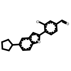 O=Cc1ccc(-c2cc3cc(C4CCCC4)ccc3o2)c(Cl)c1